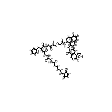 CC[C@@]1(O)C(=O)OCc2c1cc1n(c2=O)Cc2c-1nc1cc(F)c(C)c3c1c2[C@@H](NC(=O)COCNC(=O)CNC(=O)C(Cc1ccccc1)NC(=O)CNC(=O)CNC(=O)CCCCCN1C(=O)C=CC1=O)CC3